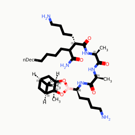 CCCCCCCCCCCCCCC(C(N)=O)[C@H](CCCCN)C(=O)N[C@@H](C)C(=O)N[C@@H](C)C(=O)N[C@@H](CCCCN)B1O[C@@H]2C[C@@H]3C[C@@H](C3(C)C)[C@]2(C)O1